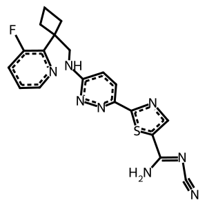 N#CN=C(N)c1cnc(-c2ccc(NCC3(c4ncccc4F)CCC3)nn2)s1